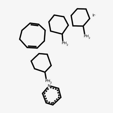 C1=C\CC/C=C\CC/1.PC1CCCCC1.PC1CCCCC1.PC1CCCCC1.[Ir].c1ccncc1